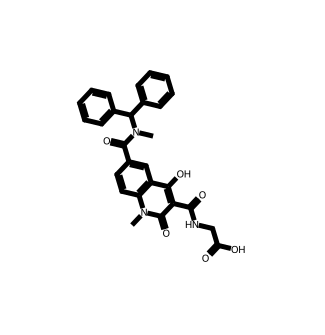 CN(C(=O)c1ccc2c(c1)c(O)c(C(=O)NCC(=O)O)c(=O)n2C)C(c1ccccc1)c1ccccc1